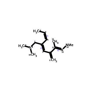 C=C(/C=C(\C=C/C)CN(C)C)/C(C)=N/NC